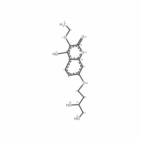 CCOc1c(O)c2ccc(OCCC(O)CO)cc2oc1=O